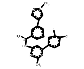 Cc1nc(N[C@@H](C)c2cccc(-c3cnn(C)c3)c2)cc(-c2ccc(Cl)c(F)c2)n1